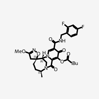 CCC(C)C(=O)Oc1c2n(cc(C(=O)NCc3ccc(F)cc3F)c1=O)[C@@H]1CN(C2=O)[C@@H](C)CC[C@]12CC(OC)=NO2